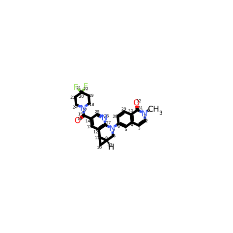 Cn1ccc2cc(N3C[C@@H]4CC4c4cc(C(=O)N5CCC(F)(F)CC5)cnc43)ccc2c1=O